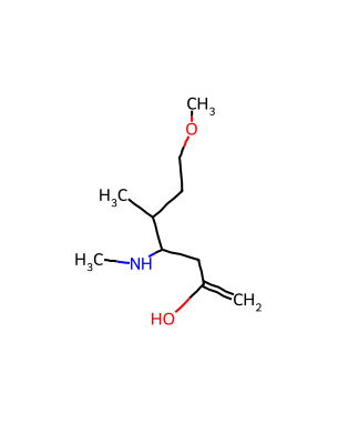 C=C(O)CC(NC)C(C)CCOC